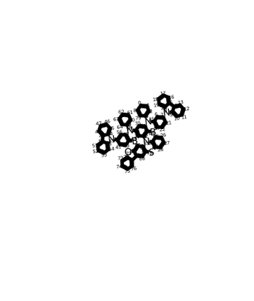 c1ccc(N2c3cc(-n4c5ccccc5c5ccccc54)ccc3B3c4cccc5c4N4c6c3c2cc2c6B(c3ccc(-n6c7ccccc7c7ccccc76)cc3N2c2ccccc2)c2c4c(cc3c2oc2ccccc23)S5)cc1